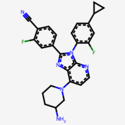 N#Cc1ccc(-c2nc3c(N4CCCC(N)C4)ccnc3n2-c2ccc(C3CC3)cc2F)cc1F